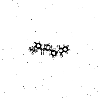 Cc1ccc(Nc2cc(-c3cccc(N4C(=O)c5ccccc5C4=O)c3)ncn2)cc1NS(C)(=O)=O